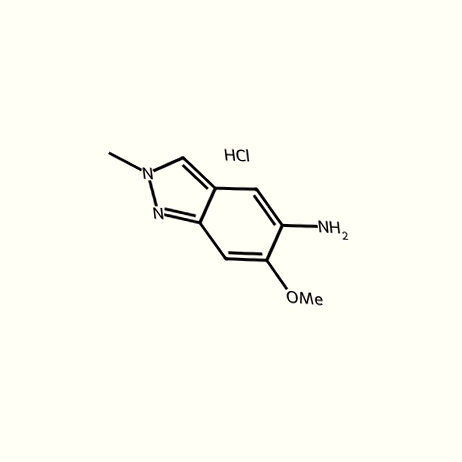 COc1cc2nn(C)cc2cc1N.Cl